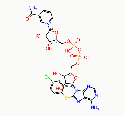 NC(=O)c1ccc[n+]([C@H]2O[C@@H](COP(=O)(O)OP(=O)(O)OC[C@H]3O[C@@H](n4c(Sc5ccc(Cl)cc5)nc5c(N)ncnc54)[C@@H](O)C3O)[C@@H](O)C2O)c1